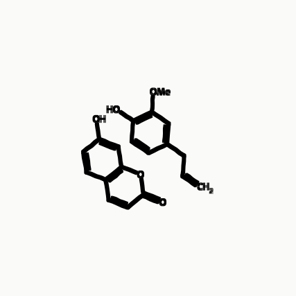 C=CCc1ccc(O)c(OC)c1.O=c1ccc2ccc(O)cc2o1